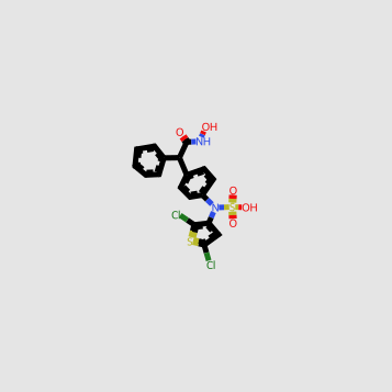 O=C(NO)C(c1ccccc1)c1ccc(N(c2cc(Cl)sc2Cl)S(=O)(=O)O)cc1